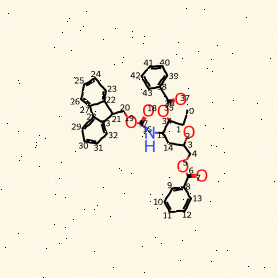 CC1OC(COC(=O)c2ccccc2)CC(NC(=O)OCC2c3ccccc3-c3ccccc32)C1OC(=O)c1ccccc1